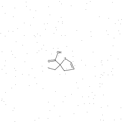 CCC1(C(=O)O)CC=CS1